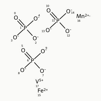 O=P([O-])([O-])[O-].O=P([O-])([O-])[O-].O=P([O-])([O-])[O-].[Fe+2].[Mn+2].[V+5]